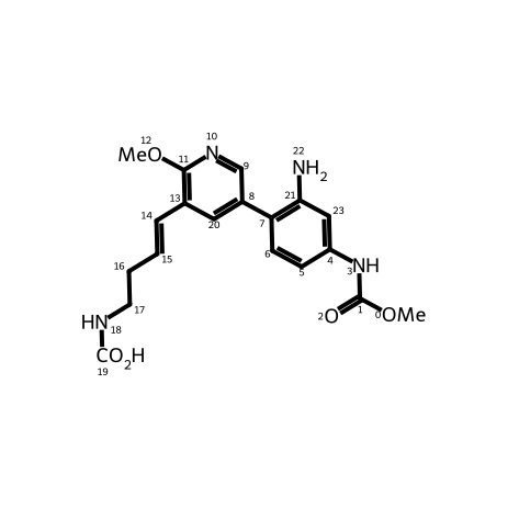 COC(=O)Nc1ccc(-c2cnc(OC)c(C=CCCNC(=O)O)c2)c(N)c1